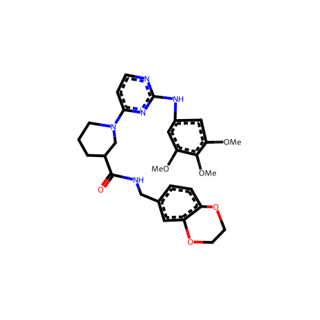 COc1cc(Nc2nccc(N3CCCC(C(=O)NCc4ccc5c(c4)OCCO5)C3)n2)cc(OC)c1OC